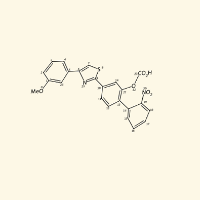 COc1cccc(-c2csc(-c3ccc(-c4ccccc4[N+](=O)[O-])c(OC(=O)O)c3)n2)c1